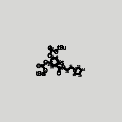 CC(C)(C)OC(=O)Oc1cc2sn(CCN3CCCC3)c(=O)c2cc1OC(=O)OC(C)(C)C